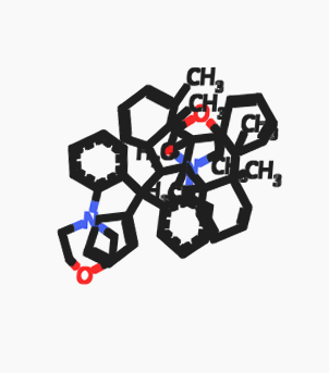 CC1=CC=CC2C(C(C3=CC=CC3)(c3ccccc3N3CCOCC3)c3ccccc3N3CCOCC3)C3(C)C4(C)C=CC=CC4(C)C4(C)C=CC=CC4(C)C3(C)C12C